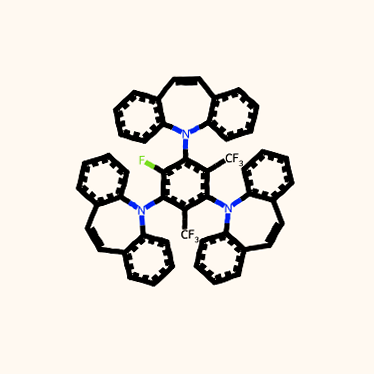 Fc1c(N2c3ccccc3C=Cc3ccccc32)c(C(F)(F)F)c(N2c3ccccc3C=Cc3ccccc32)c(C(F)(F)F)c1N1c2ccccc2C=Cc2ccccc21